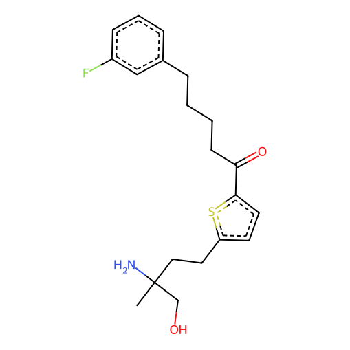 CC(N)(CO)CCc1ccc(C(=O)CCCCc2cccc(F)c2)s1